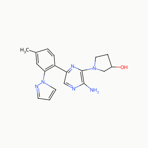 Cc1ccc(-c2cnc(N)c(N3CCC(O)C3)n2)c(-n2cccn2)c1